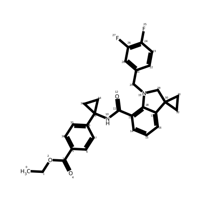 CCOC(=O)c1ccc(C2(NC(=O)c3cccc4c3N(Cc3ccc(F)c(F)c3)CC43CC3)CC2)cc1